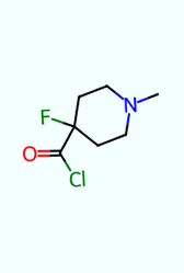 CN1CCC(F)(C(=O)Cl)CC1